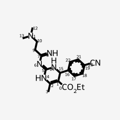 CCOC(=O)C1=C(C)N/C(=N/C(=N)CCN(C)C)NC1c1ccc(C#N)cc1